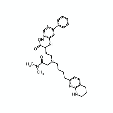 CN(C)C(=O)CN(CCCCc1ccc2c(n1)NCCC2)CC[C@H](Nc1cc(-c2ccccc2)ncn1)C(=O)O